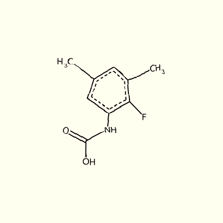 Cc1cc(C)c(F)c(NC(=O)O)c1